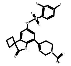 O=C(O)N1CC=C(c2cc(NS(=O)(=O)c3ccc(F)cc3F)cc3c2NC(=O)C32CCC2)CC1